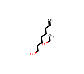 C=CCCCCCCO.CCO